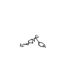 CC(=O)C1CC12CCN(C(=O)C1CCN(C)CC1)C2